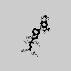 CO/C(C)=C\CC(C)(C)c1cc2cc(NC(=O)C3(c4ccc5c(c4)OCO5)CC3)ccc2[nH]1